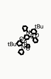 CC(C)(C)c1cc2c3c(c1)N(c1ccccc1)c1cc4c(cc1B3c1ccccc1O2)B1c2ccoc2N(c2ccccc2)c2cc(C(C)(C)C)cc(c21)O4